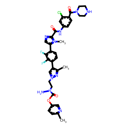 Cc1ccc(OC(=O)N(N)CCn2cc(-c3ccc(-c4cnc(C(=O)Nc5ccc(C(=O)N6CCNCC6)c(Cl)c5)n4C)c(F)c3F)c(C)n2)cn1